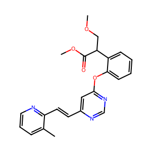 COCC(C(=O)OC)c1ccccc1Oc1cc(C=Cc2ncccc2C)ncn1